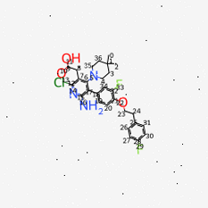 CC1(C)CCN(c2c(CC(=O)O)c(Cl)nc(N)c2-c2ccc(OCCc3ccc(F)cc3)c(F)c2)CC1